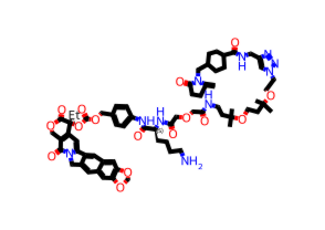 C=C1CCC(=O)N1CC1CCC(C(=O)NCc2cn(CCOC(C)(C)CCOC(C)(C)CCNC(=O)COCC(=O)N[C@@H](CCCCN)C(=O)Nc3ccc(COC(=O)O[C@]4(CC)C(=O)OCc5c4cc4n(c5=O)Cc5cc6cc7c(cc6cc5-4)OCO7)cc3)nn2)CC1